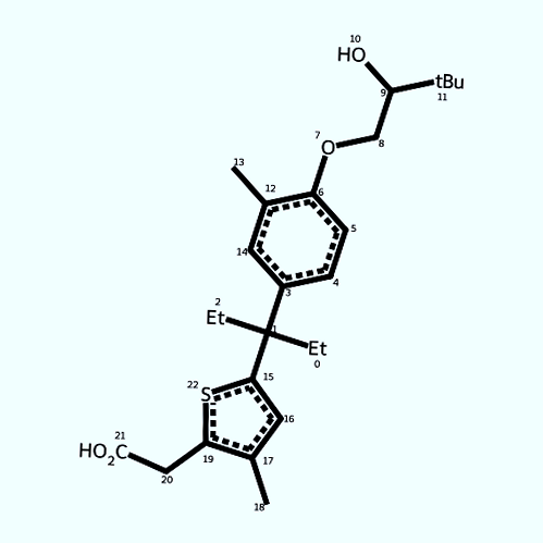 CCC(CC)(c1ccc(OCC(O)C(C)(C)C)c(C)c1)c1cc(C)c(CC(=O)O)s1